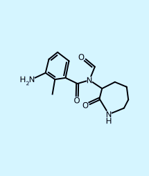 Cc1c(N)cccc1C(=O)N(C=O)C1CCCCNC1=O